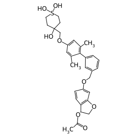 CC(=O)OC1COc2cc(OCc3cccc(-c4c(C)cc(OCC5(O)CCS(O)(O)CC5)cc4C)c3)ccc21